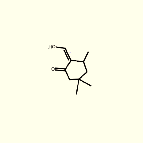 CC1CC(C)(C)CC(=O)/C1=C\O